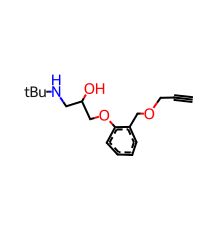 C#CCOCc1ccccc1OCC(O)CNC(C)(C)C